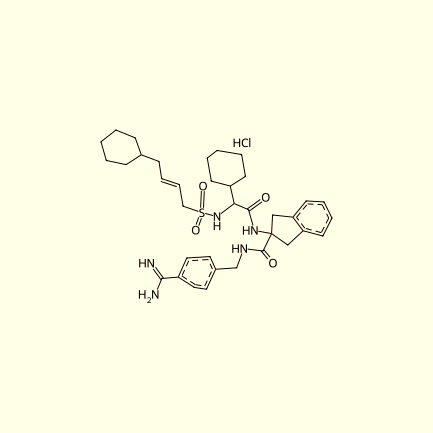 Cl.N=C(N)c1ccc(CNC(=O)C2(NC(=O)C(NS(=O)(=O)CC=CCC3CCCCC3)C3CCCCC3)Cc3ccccc3C2)cc1